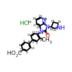 Cc1cc(-c2ccc(C(=O)O)cc2)ccc1-n1c(=O)n(C2CCNC2)c2ncccc21.Cl